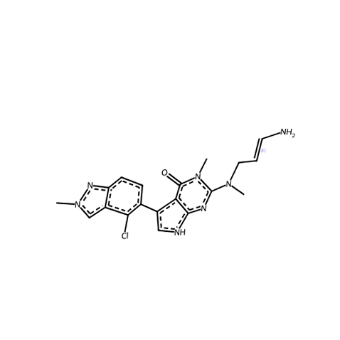 CN(C/C=C/N)c1nc2[nH]cc(-c3ccc4nn(C)cc4c3Cl)c2c(=O)n1C